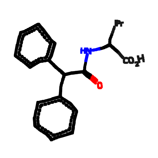 CC(C)C(NC(=O)C(c1ccccc1)c1ccccc1)C(=O)O